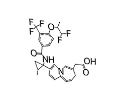 CC(Oc1ccc(C(=O)NC2(C3=CN4C=C(CC(=O)O)CC=C=C4C=C3)CC2C)cc1C(F)(F)F)C(F)F